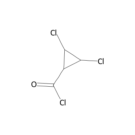 O=C(Cl)C1C(Cl)C1Cl